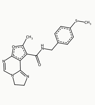 CSc1ccc(CNC(=O)c2c(C)oc3c2C2=NCCN2C=N3)cc1